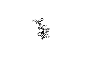 CCC(C)[C@@H](C(CC(=O)N1CCC[C@H]1[C@H](OC)[C@@H](C)C(=O)N[C@@H](Cc1ccccc1)C(=O)O)OC)N(C)C(=O)[C@@H](NC(=O)[C@H](C(C)C)N(C)C(=O)OCC12CCC#CCC[C@@H]1C2)C(C)C